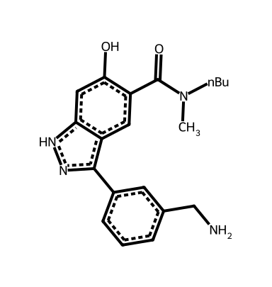 CCCCN(C)C(=O)c1cc2c(-c3cccc(CN)c3)n[nH]c2cc1O